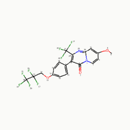 COc1ccn2c(=O)c(-c3ccc(OCC(F)(F)C(F)(F)F)cc3)c(C(F)(F)F)nc2c1